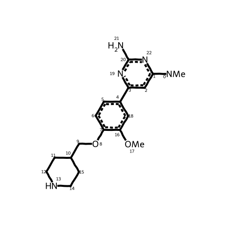 CNc1cc(-c2ccc(OCC3CCNCC3)c(OC)c2)nc(N)n1